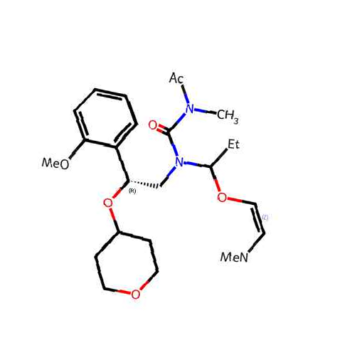 CCC(O/C=C\NC)N(C[C@H](OC1CCOCC1)c1ccccc1OC)C(=O)N(C)C(C)=O